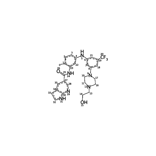 Cc1ccc(Nc2cc(N3CCN(CCO)CC3)cc(C(F)(F)F)c2)cc1NC(=O)c1cnc2[nH]ccc2c1